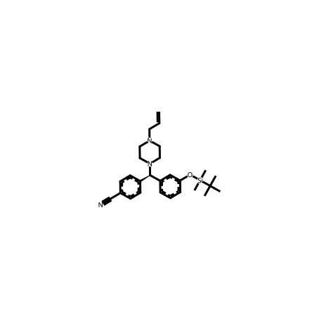 C=CCN1CCN([C@H](c2ccc(C#N)cc2)c2cccc(O[Si](C)(C)C(C)(C)C)c2)CC1